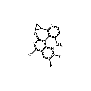 Cc1ccnc(C2CC2)c1-n1c(=O)nc(Cl)c2cc(F)c(Cl)nc21